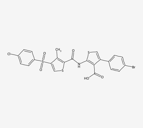 Cc1c(S(=O)(=O)c2ccc(Cl)cc2)csc1C(=O)Nc1scc(-c2ccc(Br)cc2)c1C(=O)O